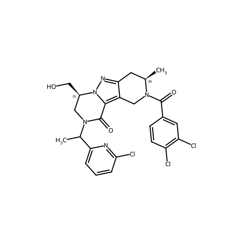 CC(c1cccc(Cl)n1)N1C[C@@H](CO)n2nc3c(c2C1=O)CN(C(=O)c1ccc(Cl)c(Cl)c1)[C@H](C)C3